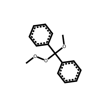 COOC(OC)(c1ccccc1)c1ccccc1